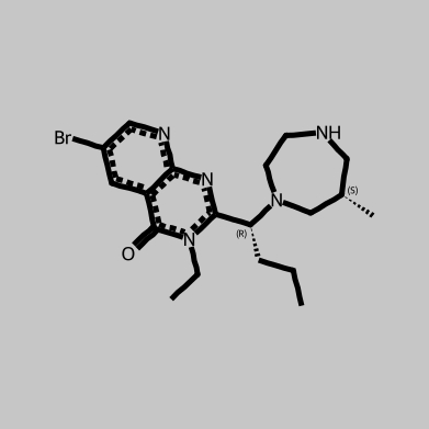 CCC[C@H](c1nc2ncc(Br)cc2c(=O)n1CC)N1CCNC[C@H](C)C1